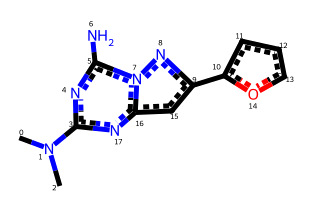 CN(C)c1nc(N)n2nc(-c3ccco3)cc2n1